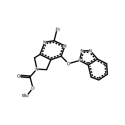 CCc1nc2c(c(On3nnc4ccccc43)n1)CN(C(=O)OC(C)(C)C)C2